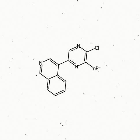 CCCc1nc(-c2cncc3ccccc23)cnc1Cl